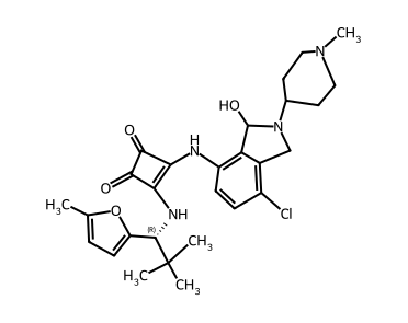 Cc1ccc([C@H](Nc2c(Nc3ccc(Cl)c4c3C(O)N(C3CCN(C)CC3)C4)c(=O)c2=O)C(C)(C)C)o1